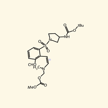 COC(=O)OCN(C)/C=C\c1c(C=O)cccc1S(=O)(=O)N1CCC(NC(=O)OC(C)(C)C)C1